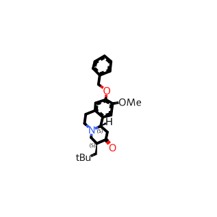 COc1cc2c(cc1OCc1ccccc1)CCN1C[C@H](CC(C)(C)C)C(=O)C[C@@H]21